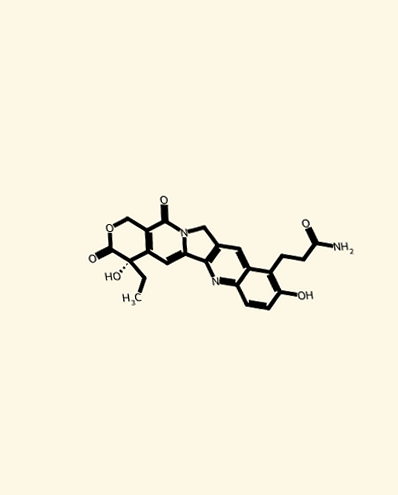 CC[C@@]1(O)C(=O)OCc2c1cc1n(c2=O)Cc2cc3c(CCC(N)=O)c(O)ccc3nc2-1